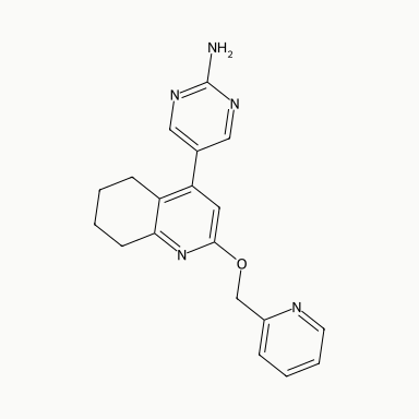 Nc1ncc(-c2cc(OCc3ccccn3)nc3c2CCCC3)cn1